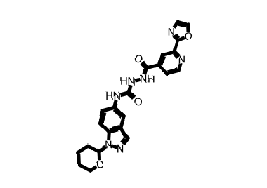 O=C(NNC(=O)c1ccnc(-c2ncco2)c1)Nc1ccc2c(cnn2C2CCCCO2)c1